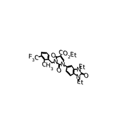 CCOC(=O)c1cn(-c2ccc3c(c2)n(CC)c(=O)n3CC)c(=O)n(Cc2cccc(C(F)(F)F)c2C)c1=O